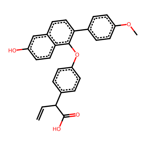 C=CC(C(=O)O)c1ccc(Oc2c(-c3ccc(OC)cc3)ccc3cc(O)ccc23)cc1